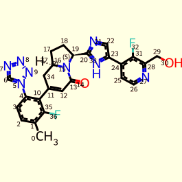 Cc1ccc(-n2cnnn2)c(C2=CC(=O)N3[C@H](CC[C@H]3c3ncc(-c4ccnc(CO)c4F)[nH]3)C2)c1F